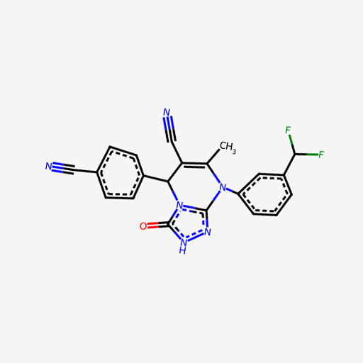 CC1=C(C#N)C(c2ccc(C#N)cc2)n2c(n[nH]c2=O)N1c1cccc(C(F)F)c1